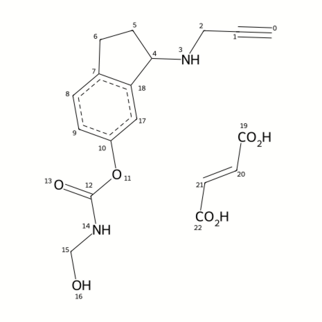 C#CCNC1CCc2ccc(OC(=O)NCO)cc21.O=C(O)/C=C/C(=O)O